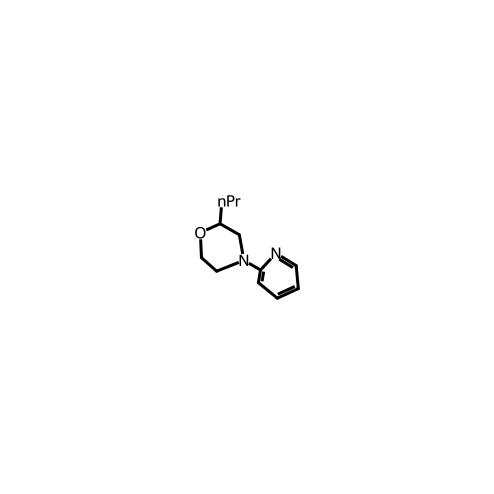 CCCC1CN(c2ccccn2)CCO1